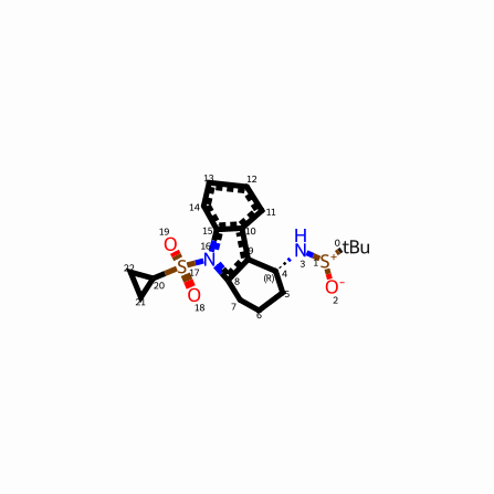 CC(C)(C)[S+]([O-])N[C@@H]1CCCc2c1c1ccccc1n2S(=O)(=O)C1CC1